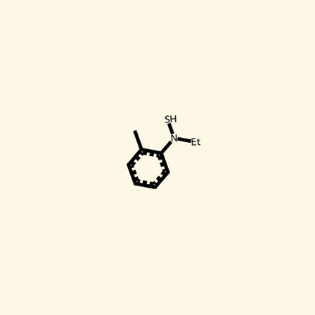 CCN(S)c1ccccc1C